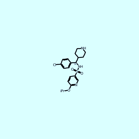 CC(C)Oc1ccc(S(=O)(=O)N[C@@H](c2ccc(Cl)cc2)C2CCNCC2)cn1